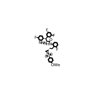 COc1ccc(S(=O)(=O)N2C[C@@H]2CCc2c(F)cccc2NC(=O)[C@@H](N=[N+]=[N-])[C@@H](c2ccc(F)cc2)c2cc(F)cc(F)c2)cc1